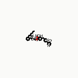 CCCCc1cc2ccccc2c(OCC[N+](C)(C)[C@H]2CCC(Cc3ccc(-c4cnccc4OC)nc3)C[C@@]2(O)C(N)=O)n1